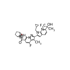 Cc1c(-c2cc3ccc(C(C)(O)C(F)(F)F)nc3n2CC2CC2)nn2cc(C(=O)N3CC4CCC3[C@@H]4N)cc(F)c12